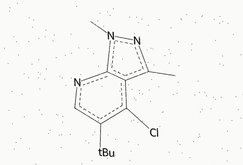 Cc1nn(C)c2ncc(C(C)(C)C)c(Cl)c12